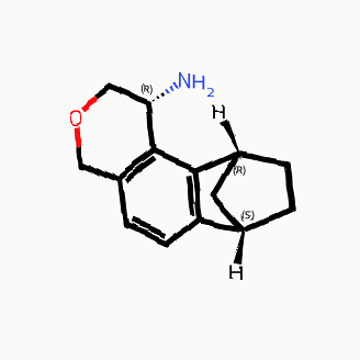 N[C@H]1COCc2ccc3c(c21)[C@@H]1CC[C@H]3C1